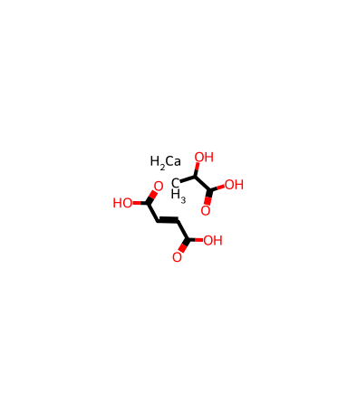 CC(O)C(=O)O.O=C(O)C=CC(=O)O.[CaH2]